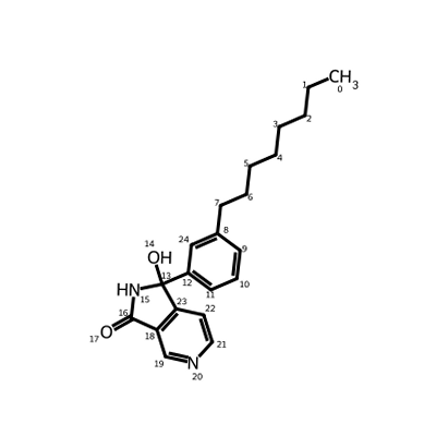 CCCCCCCCc1cccc(C2(O)NC(=O)c3cnccc32)c1